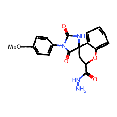 COc1ccc(N2C(=O)NC3(CC(C(=O)NN)Oc4ccccc43)C2=O)cc1